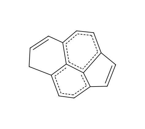 C1=Cc2ccc3c4c(ccc(c24)C1)C=C3